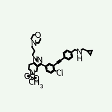 CS(=O)(=O)N1CCc2c(c(-c3ccc(Cl)c(C#Cc4ccc(CNCC5CC5)cc4)c3)nn2CCCN2CCOCC2)C1